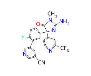 CN1C(=O)C(c2ccnc(C(F)(F)F)c2)(c2ccc(F)c(-c3cncc(C#N)c3)c2)N=C1N